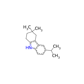 CC(C)c1ccc2[nH]c3c(c2c1)CC(C)(C)CC3